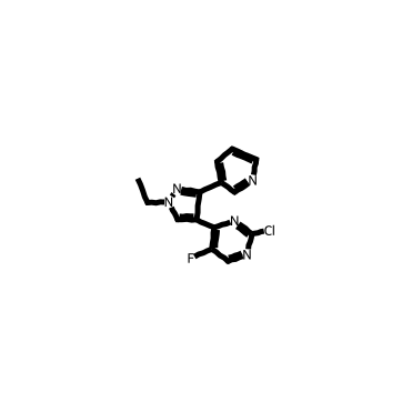 CCn1cc(-c2nc(Cl)ncc2F)c(-c2cccnc2)n1